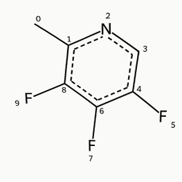 Cc1ncc(F)c(F)c1F